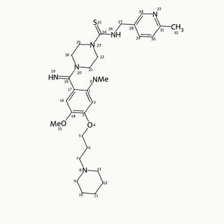 CNc1cc(OCCCN2CCCCC2)c(OC)cc1C(=N)N1CCN(C(=S)NCc2ccc(C)nc2)CC1